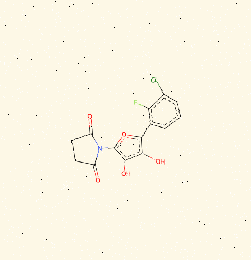 O=C1CCC(=O)N1c1oc(-c2cccc(Cl)c2F)c(O)c1O